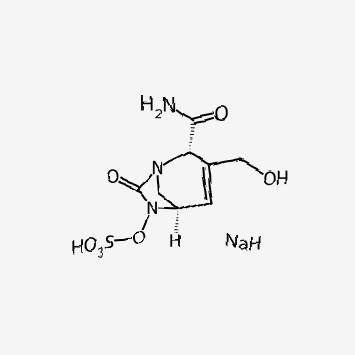 NC(=O)[C@@H]1C(CO)=C[C@@H]2CN1C(=O)N2OS(=O)(=O)O.[NaH]